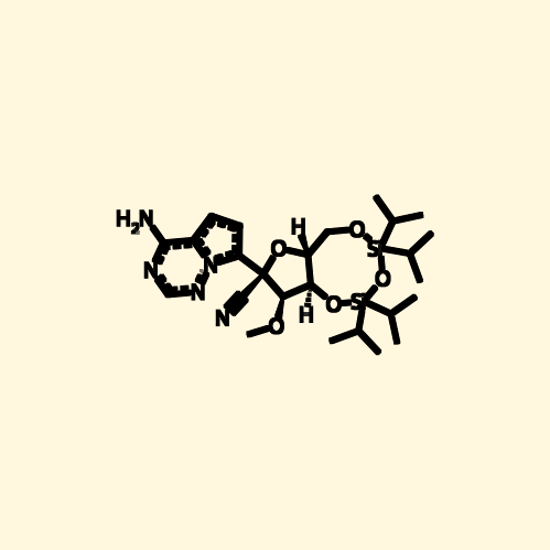 CO[C@@H]1[C@@H]2O[Si](C(C)C)(C(C)C)O[Si](C(C)C)(C(C)C)OC[C@H]2O[C@@]1(C#N)c1ccc2c(N)ncnn12